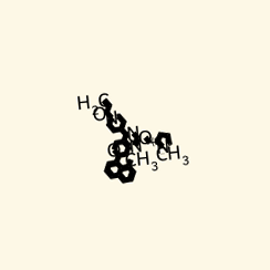 C=CC(=O)N1CCC(c2nc(OC[C@@H]3CCCN3C)nc3c2COC(c2cccc4cccc(C)c24)C3)CC1